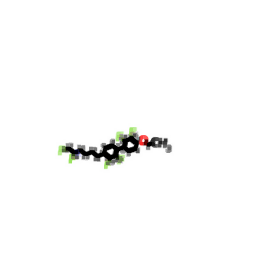 CCOc1ccc(-c2ccc(CCC/C=C(\F)CF)c(F)c2F)c(F)c1F